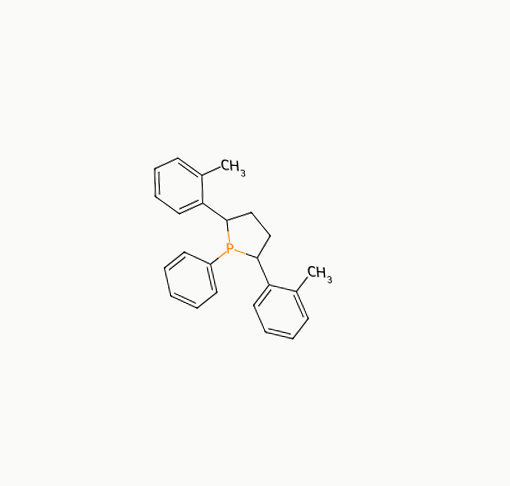 Cc1ccccc1C1CCC(c2ccccc2C)P1c1ccccc1